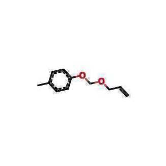 C=CCOCOc1ccc(C)cc1